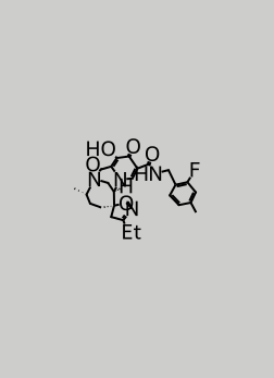 CCC1=NO[C@@]2(CC[C@H](C)N3C[C@H]2n2cc(C(=O)NCc4ccc(C)cc4F)c(=O)c(O)c2C3=O)C1